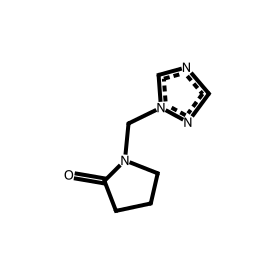 O=C1CCCN1Cn1cncn1